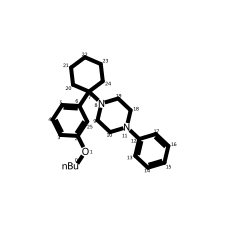 CCCCOc1cccc(C2(N3CCN(c4ccccc4)CC3)CCCCC2)c1